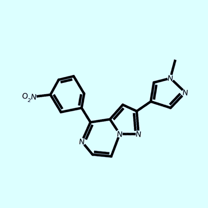 Cn1cc(-c2cc3c(-c4cccc([N+](=O)[O-])c4)nccn3n2)cn1